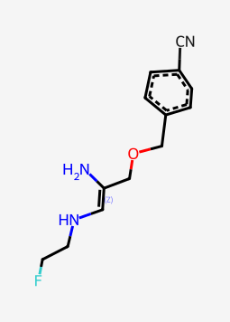 N#Cc1ccc(COC/C(N)=C/NCCF)cc1